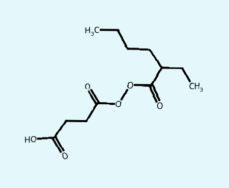 CCCCC(CC)C(=O)OOC(=O)CCC(=O)O